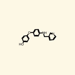 Oc1ccc(Oc2ccc(NCc3cccnc3)cc2)cc1